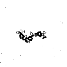 O=C(O)c1ccc(Cc2cnc3ccc(C(=O)NCc4ccc([S+]([O-])N5CC5)cc4)cc3c2O)cc1